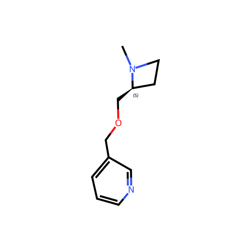 CN1CC[C@H]1COCc1cccnc1